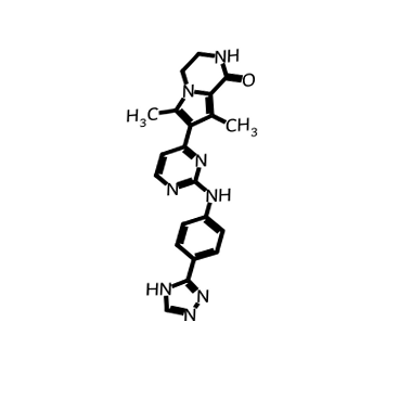 Cc1c(-c2ccnc(Nc3ccc(-c4nnc[nH]4)cc3)n2)c(C)n2c1C(=O)NCC2